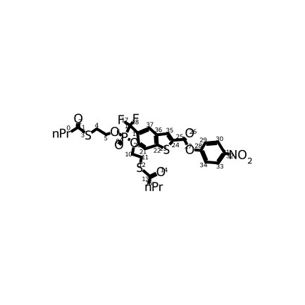 CCCC(=O)SCCOP(=O)(OCCSC(=O)CCC)C(F)(F)c1ccc2sc(C(=O)Oc3ccc([N+](=O)[O-])cc3)cc2c1